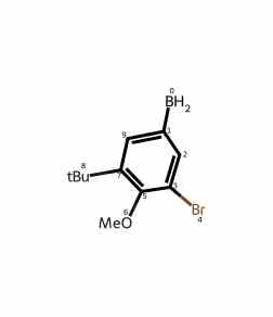 Bc1cc(Br)c(OC)c(C(C)(C)C)c1